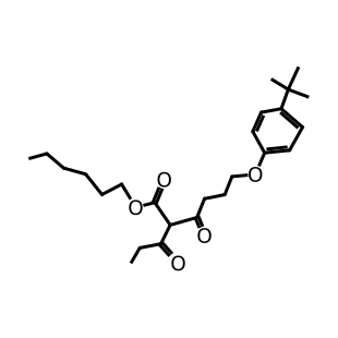 CCCCCCOC(=O)C(C(=O)CC)C(=O)CCCOc1ccc(C(C)(C)C)cc1